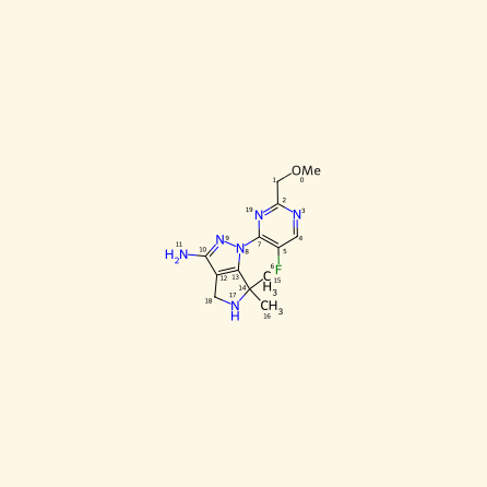 COCc1ncc(F)c(-n2nc(N)c3c2C(C)(C)NC3)n1